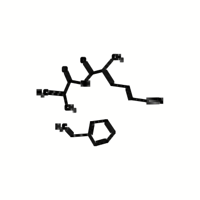 C=C(C)C(=O)NC(=O)C(C)=CC=CC#N.C=Cc1ccccc1